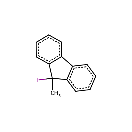 CC1(I)c2ccccc2-c2ccccc21